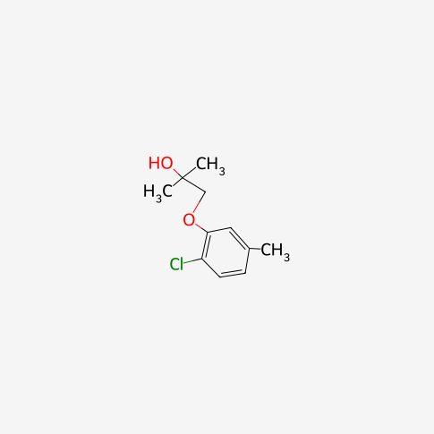 Cc1ccc(Cl)c(OCC(C)(C)O)c1